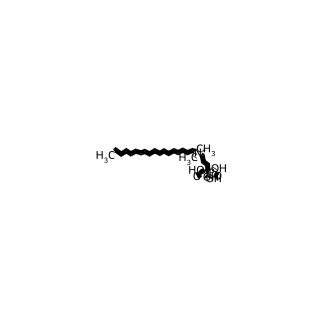 CCCCCCCCCCCCCCCCCC[N+](C)(C)CCCC(P(=O)(O)O)P(=O)(O)O